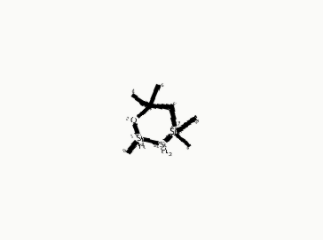 C[SiH]1OC(C)(C)C[Si](C)(C)[SiH2]1